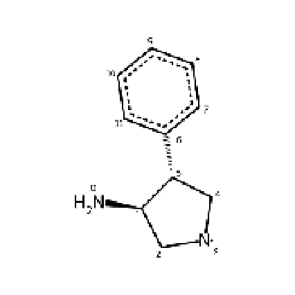 N[C@@H]1C[N]C[C@H]1c1ccccc1